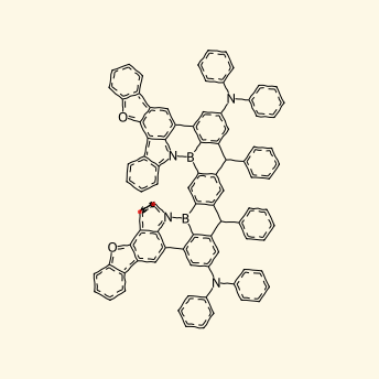 c1ccc(C2c3cc4c(cc3B3c5c(cc(N(c6ccccc6)c6ccccc6)cc52)-c2cc5c6ccccc6oc5c5c6ccccc6n3c25)B2c3c(cc(N(c5ccccc5)c5ccccc5)cc3C4c3ccccc3)-c3cc4c5ccccc5oc4c4c5ccccc5n2c34)cc1